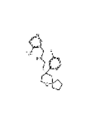 Fc1cccc([C@]2(CCNCc3cnccc3C(F)(F)F)CCOC3(CCCC3)C2)c1